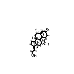 C[C@H]1C[C@@H]2[C@H]([C@@H](O)C[C@]3(C)C(=CCO)CC[C@@H]23)[C@@]2(C)CCC(=O)C=C12